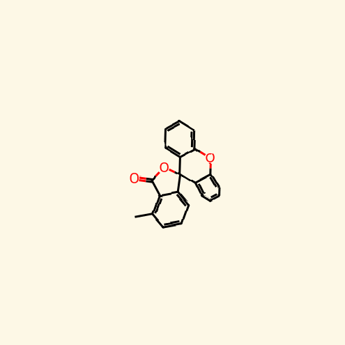 Cc1cccc2c1C(=O)OC21c2ccccc2Oc2ccccc21